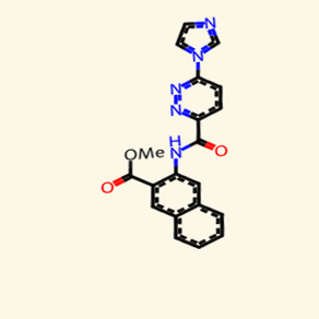 COC(=O)c1cc2ccccc2cc1NC(=O)c1ccc(-n2ccnc2)nn1